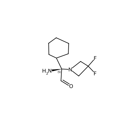 N[C@@](C=O)(C1CCCCC1)N1CC(F)(F)C1